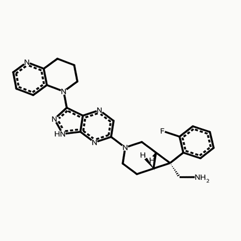 NC[C@]1(c2ccccc2F)[C@@H]2CCN(c3cnc4c(N5CCCc6ncccc65)n[nH]c4n3)C[C@@H]21